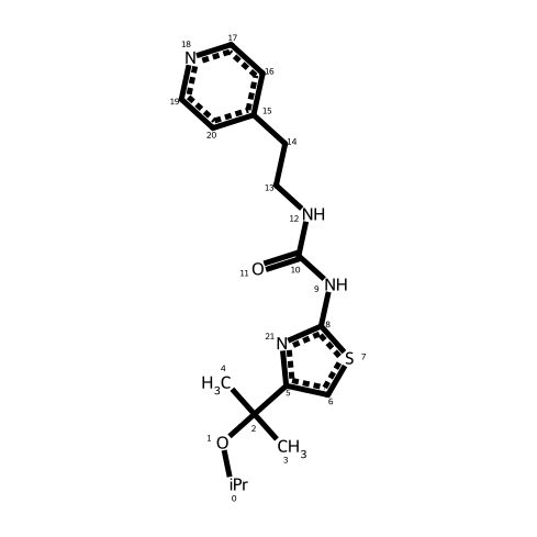 CC(C)OC(C)(C)c1csc(NC(=O)NCCc2ccncc2)n1